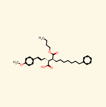 CCCCOC(=O)[C@@H](CCCCCCCc1ccccc1)[C@@H](C/C=C/c1ccc(OC)cc1)C(=O)O